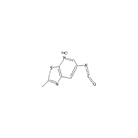 Cc1nc2cc(N=C=O)cnc2s1.Cl